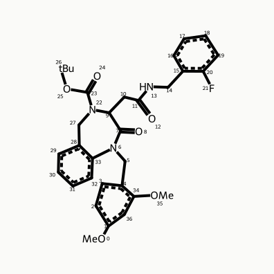 COc1ccc(CN2C(=O)C(CC(=O)NCc3ccccc3F)N(C(=O)OC(C)(C)C)Cc3ccccc32)c(OC)c1